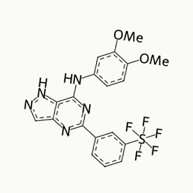 COc1ccc(Nc2nc(-c3cccc(S(F)(F)(F)(F)F)c3)nc3cn[nH]c23)cc1OC